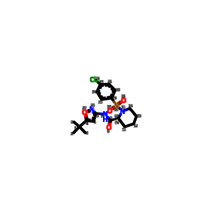 CC(C)(C)c1cc(NC(=O)[C@@H]2CCCCN2S(=O)(=O)c2ccc(Cl)cc2)no1